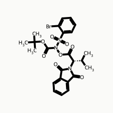 CC(C)[C@@H](C(=O)ON(C(=O)OC(C)(C)C)S(=O)(=O)c1ccccc1Br)N1C(=O)c2ccccc2C1=O